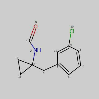 O=CNC1(Cc2cccc(Cl)c2)CC1